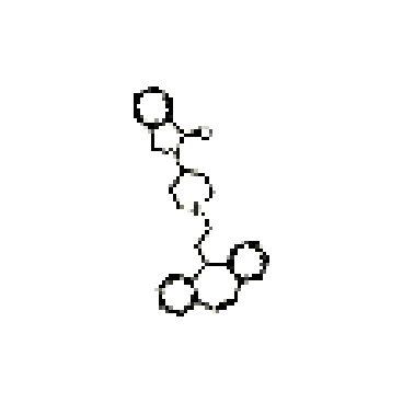 O=C1c2ccccc2CN1C1CCN(CCC2c3ccccc3C=Cc3ccccc32)CC1